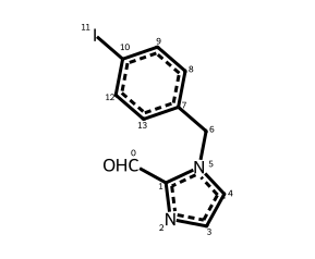 O=Cc1nc[c]n1Cc1ccc(I)cc1